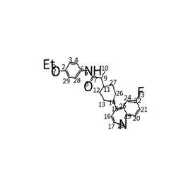 CCOc1ccc(NC(=O)C(C)C2CCC(c3ccnc4ccc(F)cc34)CC2)cc1